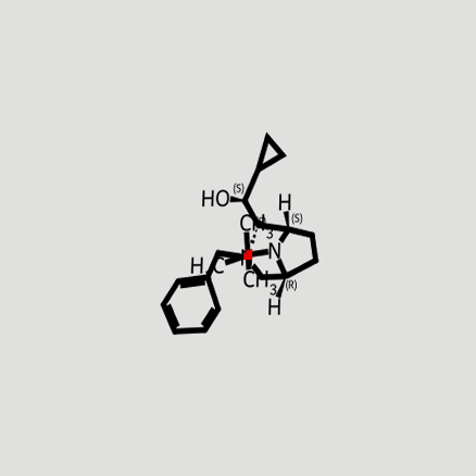 CC(C)(C)N1[C@@H]2CC[C@H]1[C@@H]([C@@H](O)C1CC1)N(Cc1ccccc1)C2